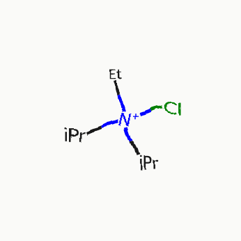 CC[N+](Cl)(C(C)C)C(C)C